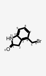 O=C1Cc2c(CBr)cccc2N1